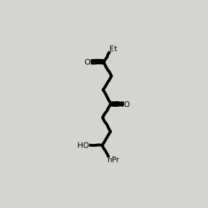 CCCC(O)CCC(=O)CCC(=O)CC